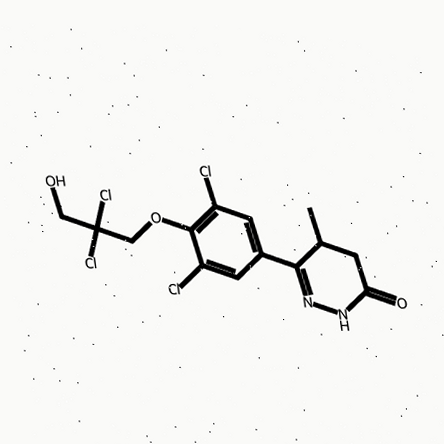 CC1CC(=O)NN=C1c1cc(Cl)c(OCC(Cl)(Cl)CO)c(Cl)c1